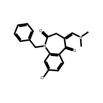 CN(C)/C=C1/CC(=O)N(Cc2ccccc2)c2cc(Cl)ccc2C1=O